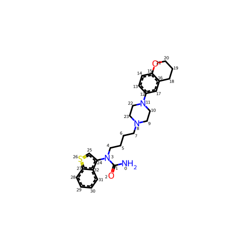 NC(=O)N(CCCCN1CCN(c2ccc3c(c2)CCCO3)CC1)c1csc2ccccc12